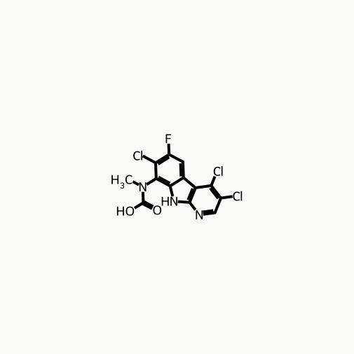 CN(C(=O)O)c1c(Cl)c(F)cc2c1[nH]c1ncc(Cl)c(Cl)c12